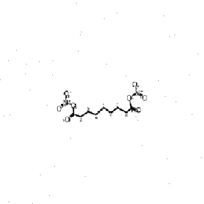 O=C(CCCCCCCC(=O)O[N+](=O)[O-])O[N+](=O)[O-]